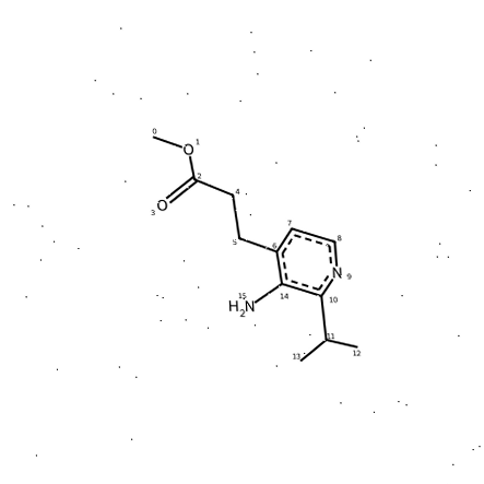 COC(=O)CCc1ccnc(C(C)C)c1N